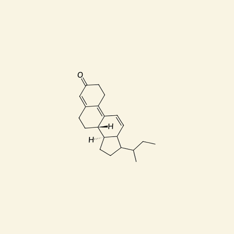 CCC(C)C1CC[C@@H]2C1C=CC1=C3CCC(=O)C=C3CC[C@H]12